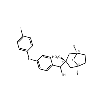 O=C(O)[C@@]1(C(S)c2ccc(Oc3ccc(F)cc3)cc2)C[C@H]2CC[C@@H](C1)O2